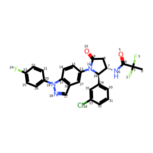 CC(F)(F)C(=O)N[C@H]1CC(=O)N(c2ccc3c(cnn3-c3ccc(F)cc3)c2)[C@@H]1c1cccc(Cl)c1